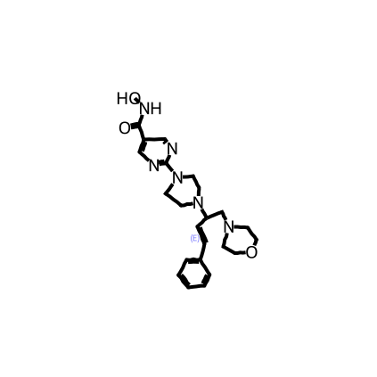 O=C(NO)c1cnc(N2CCN(C(/C=C/c3ccccc3)CN3CCOCC3)CC2)nc1